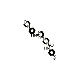 CSc1ccc(NC(=O)N2CCN(c3ccnc(Nc4ccc(N5CCOCC5)cc4)n3)CC2)cc1